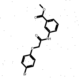 COC(=O)c1cccc(NC(=O)COc2ccc(Br)cc2)c1